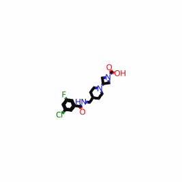 O=C(NCC1CCN(C2CN(C(=O)O)C2)CC1)c1cc(F)cc(Cl)c1